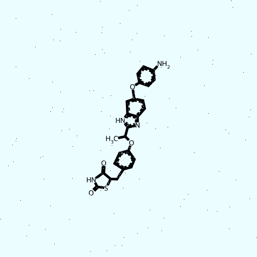 CC(Oc1ccc(CC2SC(=O)NC2=O)cc1)c1nc2ccc(Oc3ccc(N)cc3)cc2[nH]1